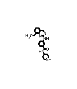 CCc1cccc2cnc(Nc3cccc(C(=O)NC4CCNCC4)c3)nc12